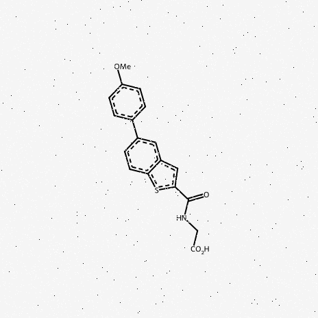 COc1ccc(-c2ccc3sc(C(=O)NCC(=O)O)cc3c2)cc1